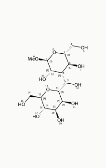 CO[C@H]1O[C@H](CO)[C@@H](O)[C@H](C(O)[C@H]2O[C@H](CO)[C@@H](O)[C@H](O)[C@@H]2O)[C@@H]1O